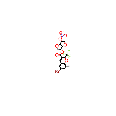 Cc1cc(Br)cc2c1OC(C(F)(F)F)C(C(=O)OC1COC3C(O[N+](=O)[O-])COC13)=C2